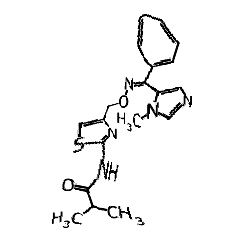 CC(C)C(=O)Nc1nc(CO/N=C(/c2ccccc2)c2cncn2C)cs1